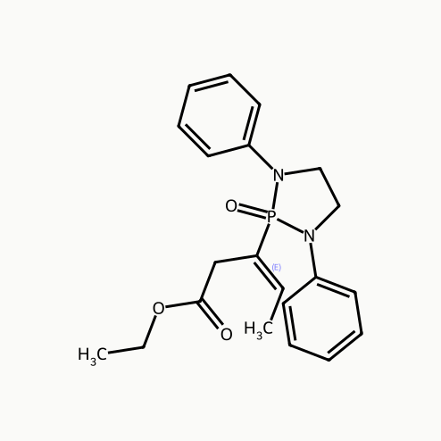 C/C=C(\CC(=O)OCC)P1(=O)N(c2ccccc2)CCN1c1ccccc1